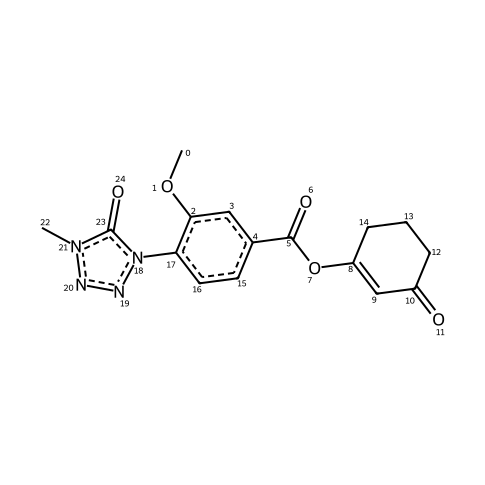 COc1cc(C(=O)OC2=CC(=O)CCC2)ccc1-n1nnn(C)c1=O